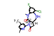 Cc1cc(C(F)(F)F)cc(N2C(=O)C[C@@H]3CNc4c(Cl)cc(F)cc4N(C)C(=O)[C@H]32)n1